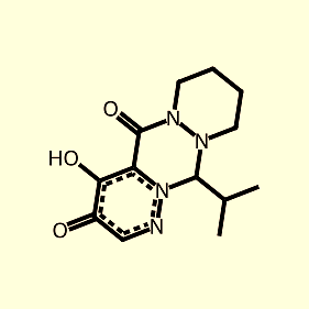 CC(C)C1N2CCCCN2C(=O)c2c(O)c(=O)cnn21